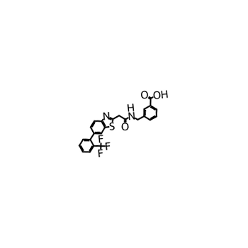 O=C(Cc1nc2ccc(-c3ccccc3C(F)(F)F)cc2s1)NCc1cccc(C(=O)O)c1